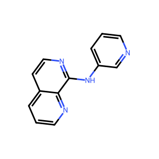 c1cncc(Nc2nccc3cccnc23)c1